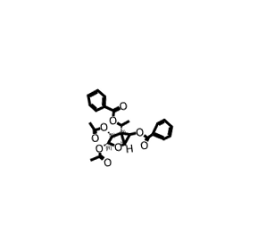 CC(=O)O[C@H]1O[C@@H]2C(OC(=O)c3ccccc3)[C@]2(C(C)OC(=O)c2ccccc2)[C@H]1OC(C)=O